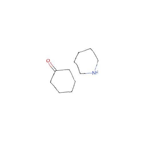 C1CCNCC1.O=C1CCCCC1